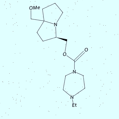 CCN1CCN(C(=O)OC[C@H]2CCC3(COC)CCCN23)CC1